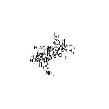 CC(=O)C(C)N[C@@H](C)c1nc(C)sc1C(=O)N[C@@H](CCCCN)c1nc(C)sc1C(=O)N[C@@H](C)c1nc(CCCCN)sc1C(=O)C(C)(C)N